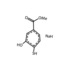 COC(=O)c1ccc(S)c(O)c1.[NaH]